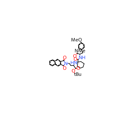 CNC(=O)C(Cc1ccc(OC)cc1)NC(=O)C1(NC(CCN2C(=O)c3cc4ccccc4cc3C2=O)C(=O)OC(C)(C)C)CCCCC1